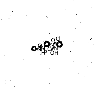 C[C@H](O)c1nc2cccc(Cl)c2c(=O)n1-c1cccc(NC(=O)NC2CCCC2)c1